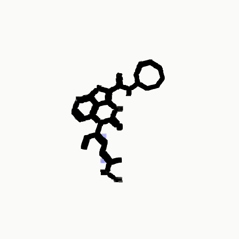 C=C/C(=C\C=C(/C)BS)N1C(=O)Nc2c(C(=O)NC3CCCCCCC3)sc3nccc1c23